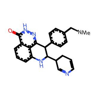 CNCc1ccc(C2c3n[nH]c(=O)c4cccc(c34)NC2C2C=NC=CC2)cc1